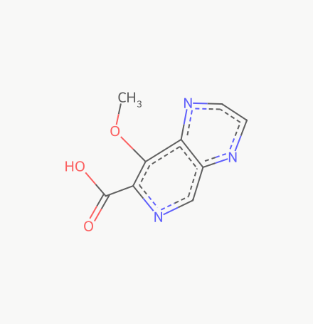 COc1c(C(=O)O)ncc2nccnc12